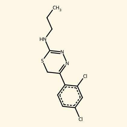 CCCNC1=NN=C(c2ccc(Cl)cc2Cl)CS1